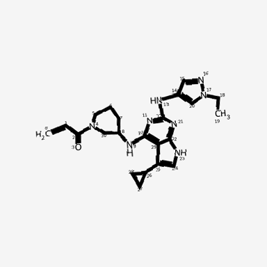 C=CC(=O)N1CCCC(Nc2nc(Nc3cnn(CC)c3)nc3[nH]cc(C4CC4)c23)C1